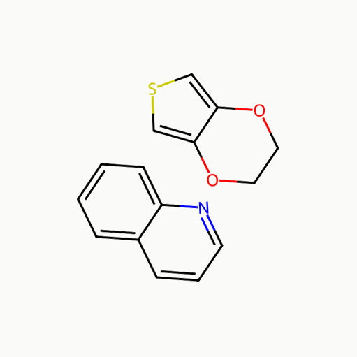 c1ccc2ncccc2c1.c1scc2c1OCCO2